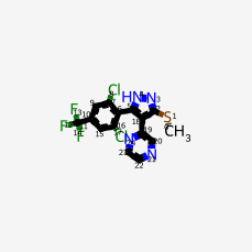 CSc1n[nH]c(-c2c(Cl)cc(C(F)(F)F)cc2Cl)c1-c1cnccn1